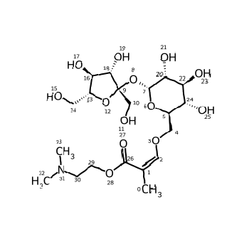 CC(=COC[C@H]1O[C@H](O[C@]2(CO)O[C@H](CO)[C@@H](O)[C@@H]2O)[C@H](O)[C@@H](O)[C@@H]1O)C(=O)OCCN(C)C